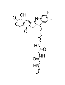 Cc1cc2c(CCCOCNC(=O)CNC(=O)CNC=O)c3c(nc2cc1F)-c1cc2c(c(=O)n1C3)COC(=O)[C@H]2O